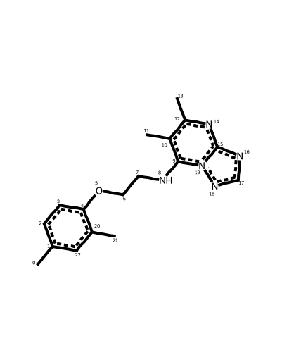 Cc1ccc(OCCNc2c(C)c(C)nc3ncnn23)c(C)c1